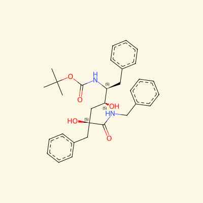 CC(C)(C)OC(=O)N[C@@H](Cc1ccccc1)[C@@H](O)C[C@@](O)(Cc1ccccc1)C(=O)NCc1ccccc1